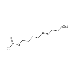 CCCCCCCCCCC=CCCCCOC(=O)CC